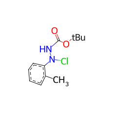 Cc1ccccc1N(Cl)NC(=O)OC(C)(C)C